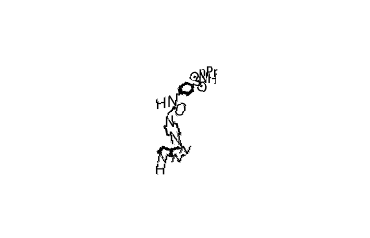 CCCNS(=O)(=O)c1ccc(NC(=O)CN2CCN(c3ncnc4[nH]ccc34)CC2)cc1